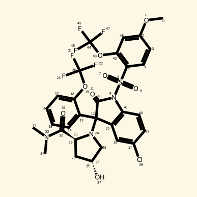 COc1ccc(S(=O)(=O)N2C(=O)C(c3ccccc3OC(F)(F)F)(N3C[C@H](O)C[C@H]3C(=O)N(C)C)c3cc(Cl)ccc32)c(OC(F)(F)F)c1